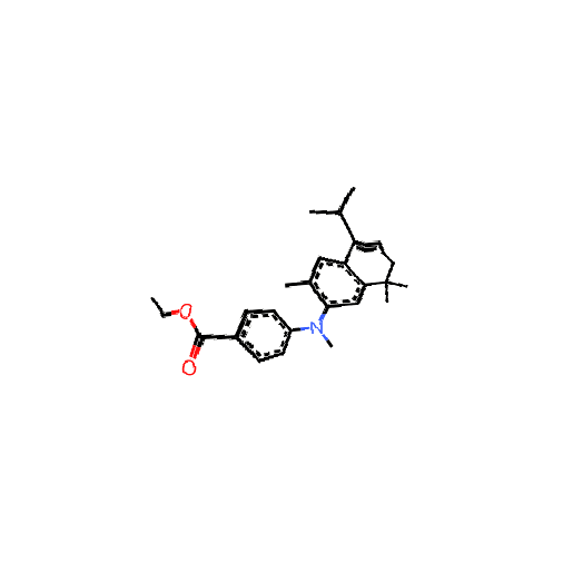 CCOC(=O)c1ccc(N(C)c2cc3c(cc2C)C(C(C)C)=CCC3(C)C)cc1